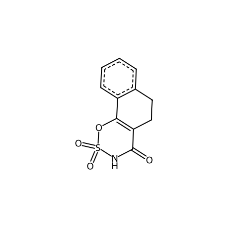 O=C1NS(=O)(=O)OC2=C1CCc1ccccc12